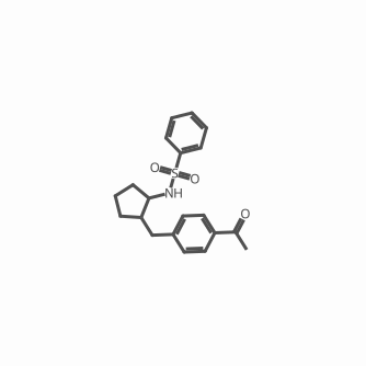 CC(=O)c1ccc(CC2CCCC2NS(=O)(=O)c2ccccc2)cc1